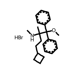 Br.CNC(C)(CCC1CCC1)C(OC)(c1ccccc1)c1ccccc1